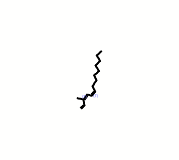 C=C/C(C)=C\C=C/CCCCCCCC